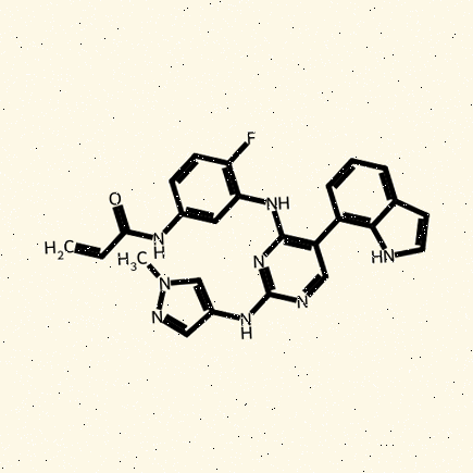 C=CC(=O)Nc1ccc(F)c(Nc2nc(Nc3cnn(C)c3)ncc2-c2cccc3cc[nH]c23)c1